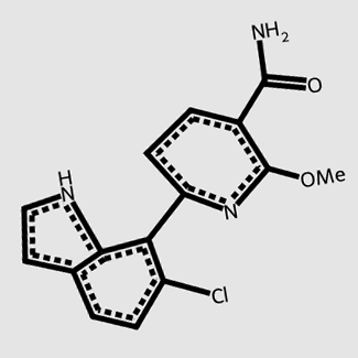 COc1nc(-c2c(Cl)ccc3cc[nH]c23)ccc1C(N)=O